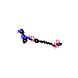 CN(CCOc1ccc(C#CCCCCCCCCC(=O)ON2C(=O)CCC2=O)cc1)c1nc(-c2cccnc2)nc2ccccc12